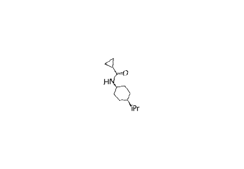 CC(C)[C@H]1CC[C@@H](NC(=O)C2CC2)CC1